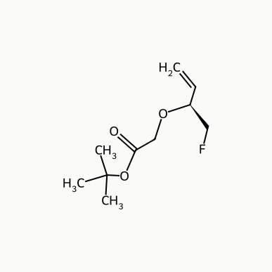 C=C[C@@H](CF)OCC(=O)OC(C)(C)C